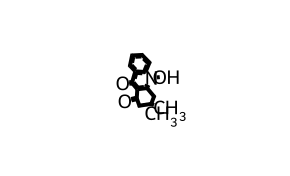 CC1(C)CC(=O)c2c(n(O)c3ccccc3c2=O)C1